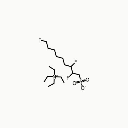 CC[N+](CC)(CC)CC.O=S(=O)([O-])CC(F)C(F)CCCCCCF